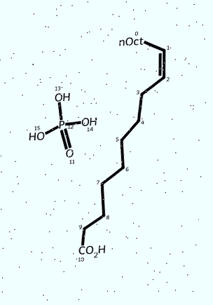 CCCCCCCC/C=C\CCCCCCCC(=O)O.O=P(O)(O)O